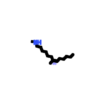 CCCCC/C=C(/C)CCCCCCNC